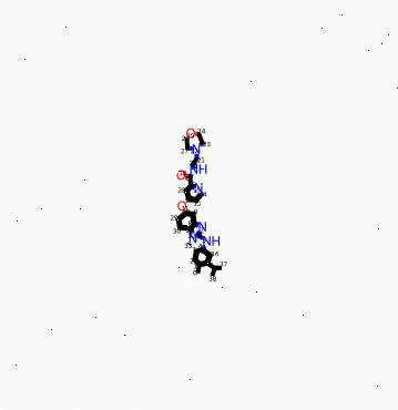 Cc1ccc(Nc2nc3cc(Oc4ccnc(C(=O)NCCN5CCOCC5)c4)ccc3n2C)cc1C(C)C